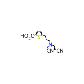 N#CC=CN(CC#N)CCCc1ccc(C(=O)O)s1